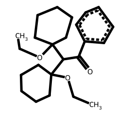 CCOC1(C(C(=O)c2ccccc2)C2(OCC)CCCCC2)CCCCC1